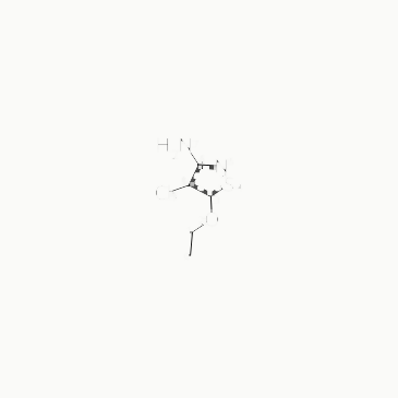 CCOc1snc(N)c1Cl